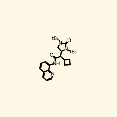 CC(C)(C)N1CC(C(C(=O)Nc2cccc3cccnc23)C2CCC2)N(C(C)(C)C)C1=O